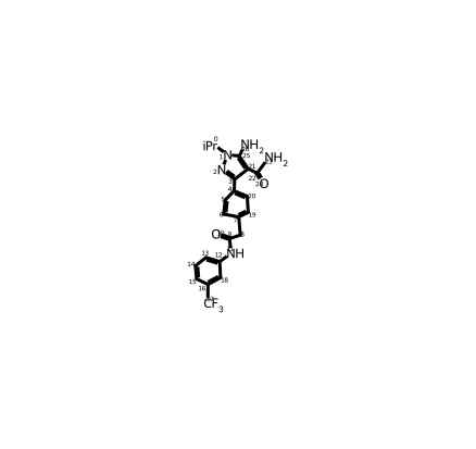 CC(C)n1nc(-c2ccc(CC(=O)Nc3cccc(C(F)(F)F)c3)cc2)c(C(N)=O)c1N